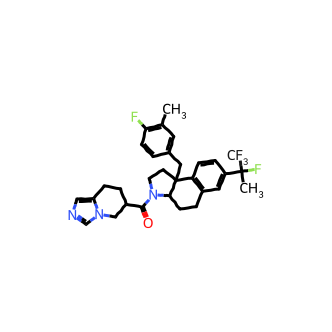 Cc1cc(CC23CCN(C(=O)C4CCc5cncn5C4)C2CCc2cc(C(C)(F)C(F)(F)F)ccc23)ccc1F